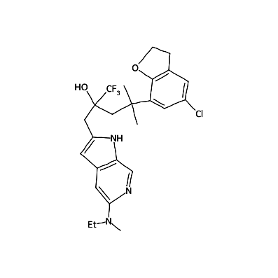 CCN(C)c1cc2cc(CC(O)(CC(C)(C)c3cc(Cl)cc4c3OCC4)C(F)(F)F)[nH]c2cn1